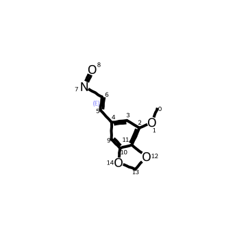 COc1cc(/C=C/N=O)cc2c1OCO2